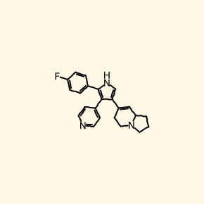 Fc1ccc(-c2[nH]cc(C3=CC4CCCN4CC3)c2-c2ccncc2)cc1